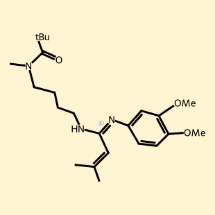 COc1ccc(/N=C(\C=C(C)C)NCCCCN(C)C(=O)C(C)(C)C)cc1OC